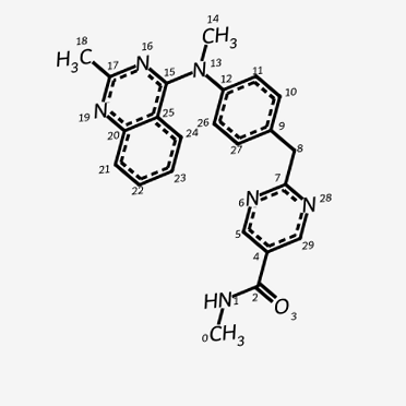 CNC(=O)c1cnc(Cc2ccc(N(C)c3nc(C)nc4ccccc34)cc2)nc1